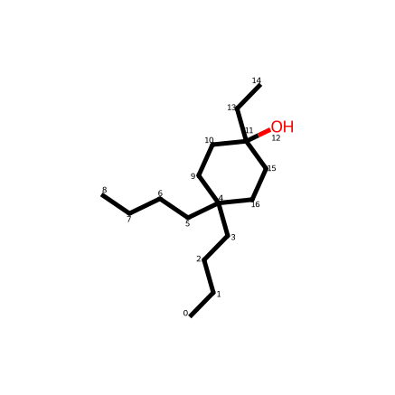 CCCCC1(CCCC)CCC(O)(CC)CC1